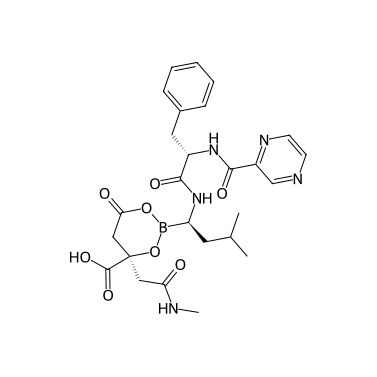 CNC(=O)C[C@]1(C(=O)O)CC(=O)OB([C@H](CC(C)C)NC(=O)[C@H](Cc2ccccc2)NC(=O)c2cnccn2)O1